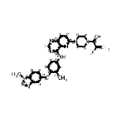 C=C(F)C(=O)N1CCN(c2ccc3ncnc(Nc4ccc(Oc5ccc6c(c5)nnn6C)c(C)c4)c3n2)CC1